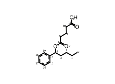 CCCCC(OC(=O)CCCC(=O)O)c1ccccc1